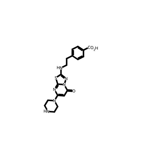 O=C(O)c1ccc(CCNc2nn3c(=O)cc(N4CCNCC4)nc3s2)cc1